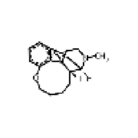 CN1CC[C@@]2(C)c3c4cccc3OCCCC[C@H]2[C@H]1C4